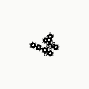 c1ccc(-c2ccc(-c3cc(-c4nc(-c5cc6ccccc6c6ccccc56)c5oc6ccccc6c5n4)c4c(c3)oc3ccccc34)cc2)cc1